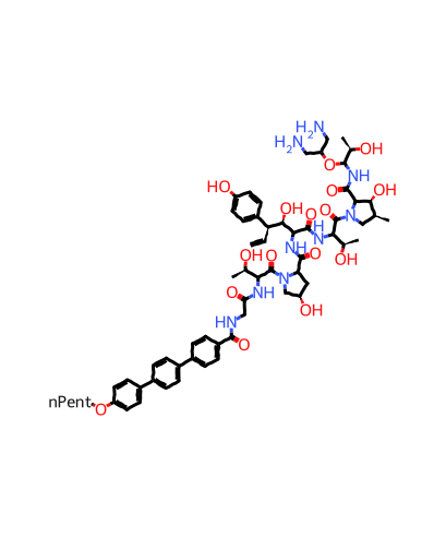 C=C[C@@H](c1ccc(O)cc1)[C@@H](O)C(NC(=O)C1C[C@@H](O)CN1C(=O)C(NC(=O)CNC(=O)c1ccc(-c2ccc(-c3ccc(OCCCCC)cc3)cc2)cc1)[C@@H](C)O)C(=O)NC(C(=O)N1C[C@H](C)[C@H](O)C1C(=O)NC(OC(CN)CN)[C@@H](C)O)[C@@H](C)O